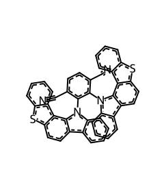 N#Cc1ccc(C#N)c(-n2c3ccccc3c3ccc4sc5ccccc5c4c32)c1-n1c2ccccc2c2ccc3sc4ccccc4c3c21